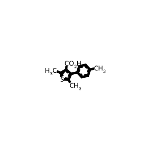 Cc1ccc(-c2c(C)sc(C)c2C(=O)O)cc1